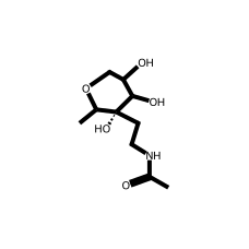 CC(=O)NCC[C@@]1(O)C(C)OCC(O)C1O